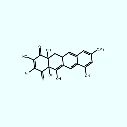 COc1cc(O)c2c(c1)=CC1CC3(O)C(=O)C(O)=C(C(C)=O)C(=O)C3(O)C(O)=C1C=2